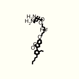 CCCCCc1ccc(-c2cc3ccc(OCCCC(F)(F)CCCOC(=O)C(C)(CC(C)(C)N)C(C)(C)N)cc3oc2=O)c(CC)c1